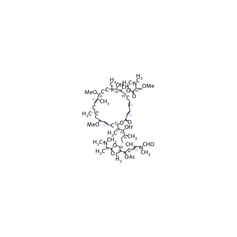 COC[C@@H](C(=O)O[C@@H]1C/C=C/C=C/C(=O)O[C@H]([C@@H](C)[C@@H](O)[C@@H](C)CC[C@@H](OC(=O)[C@H](C)N(C)C)[C@H](C)[C@H](OC(C)=O)[C@H](C)/C=C/N(C)C=O)C/C=C/[C@H](OC)C[C@H](C)C/C=C(\C)[C@@H](OC)CC[C@@H](C)[C@@H](O)[C@@H]1C)N(C)C